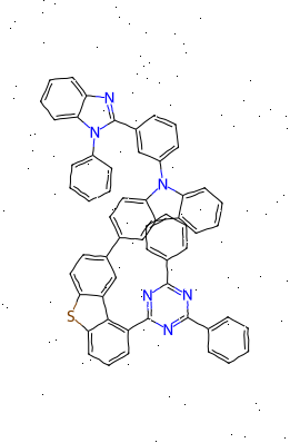 c1ccc(-c2nc(-c3ccccc3)nc(-c3cccc4sc5ccc(-c6ccc7c(c6)c6ccccc6n7-c6cccc(-c7nc8ccccc8n7-c7ccccc7)c6)cc5c34)n2)cc1